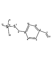 C=Cc1ccc(CS[Si](C)(C)C)cc1